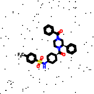 O=C(c1ccccc1)N1CCN(C(=O)[C@H]2CC[C@H](NS(=O)(=O)c3ccc(C(F)(F)F)cc3)CC2)[C@@H](c2ccccc2)C1